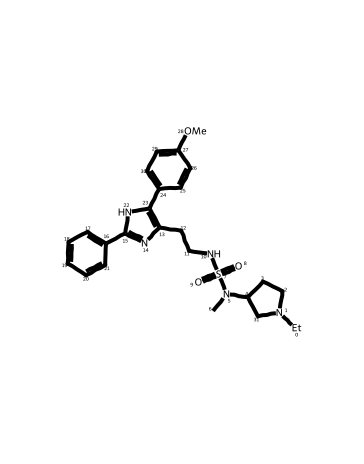 CCN1CCC(N(C)S(=O)(=O)NCCc2nc(-c3ccccc3)[nH]c2-c2ccc(OC)cc2)C1